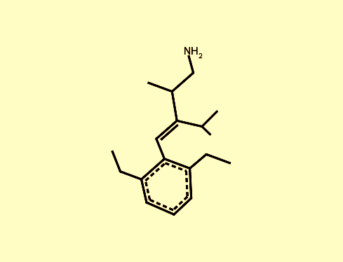 CCc1cccc(CC)c1C=C(C(C)C)C(C)CN